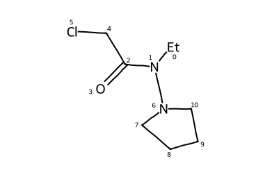 CCN(C(=O)CCl)N1CCCC1